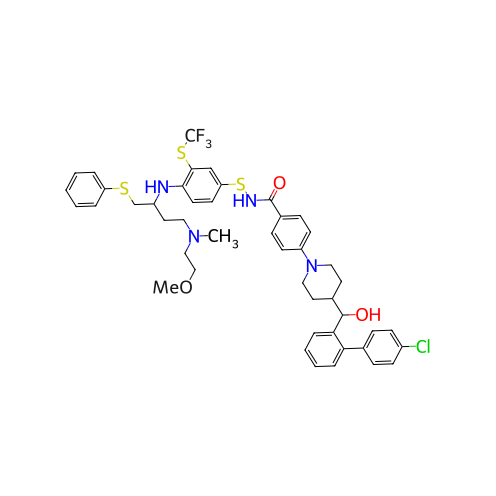 COCCN(C)CCC(CSc1ccccc1)Nc1ccc(SNC(=O)c2ccc(N3CCC(C(O)c4ccccc4-c4ccc(Cl)cc4)CC3)cc2)cc1SC(F)(F)F